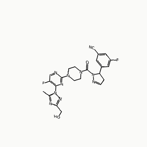 Cc1nc(CO)nn1-c1nc(N2CCN(C(=O)N3N=CCC3c3cc(F)cc(C#N)c3)CC2)ncc1F